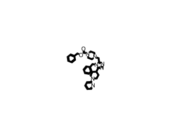 O=C(OCc1ccccc1)N1CCN(Cc2nnc(C3CCN(c4ccccn4)CC3)n2Cc2ccccc2)CC1